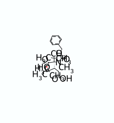 CN(C(=O)OCc1ccccc1)[C@](C(=O)O)(C(CC(=O)O)C(C)(C)C)C(C)(C)C